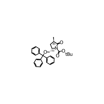 C[C@@H]1C[C@@H](COC(c2ccccc2)(c2ccccc2)c2ccccc2)N(C(=O)OC(C)(C)C)C1=O